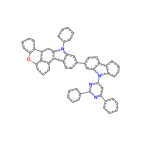 c1ccc(-c2cc(-n3c4ccccc4c4ccc(-c5ccc6c7c8cccc9c8c(cc7n(-c7ccccc7)c6c5)-c5ccccc5O9)cc43)nc(-c3ccccc3)n2)cc1